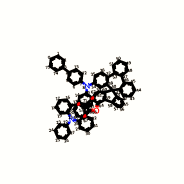 c1ccc(-c2ccc(N(c3ccc4c(c3)-c3ccccc3N(c3ccccc3)c3ccccc3-4)c3ccc4c(c3)C3(c5ccccc5-c5ccccc5-4)c4ccccc4-c4c3ccc3c4oc4ccccc43)cc2)cc1